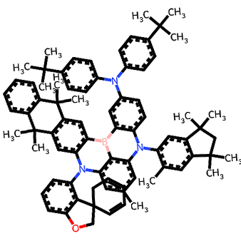 Cc1cc2c3c(c1)N(c1cccc4c1C1(C=CC=CC1)CO4)c1cc4c(cc1B3c1cc(N(c3ccc(C(C)(C)C)cc3)c3ccc(C(C)(C)C)cc3)ccc1N2c1cc2c(cc1C)C(C)(C)CC2(C)C)C(C)(C)c1ccccc1C4(C)C